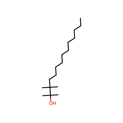 CCCCCCCCCCCC(C)(C)C(C)(C)O